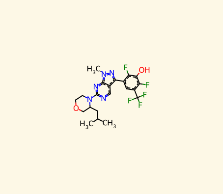 CC(C)CC1COCCN1c1ncc2c(-c3cc(C(F)(F)F)c(F)c(O)c3F)nn(C)c2n1